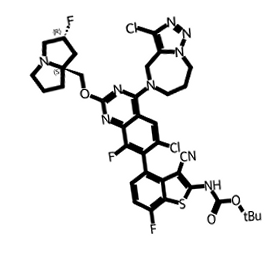 CC(C)(C)OC(=O)Nc1sc2c(F)ccc(-c3c(Cl)cc4c(N5CCCn6nnc(Cl)c6C5)nc(OC[C@@]56CCCN5C[C@H](F)C6)nc4c3F)c2c1C#N